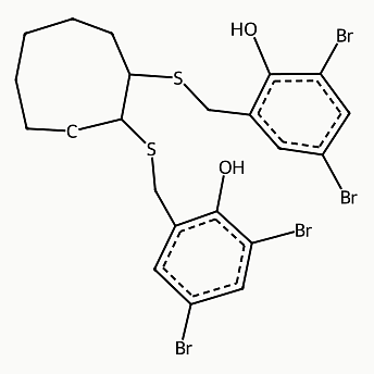 Oc1c(Br)cc(Br)cc1CSC1CCCCCCC1SCc1cc(Br)cc(Br)c1O